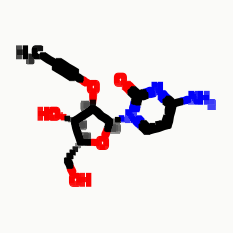 CC#CO[C@@H]1[C@@H](O)[C@@H](CO)O[C@H]1n1ccc(N)nc1=O